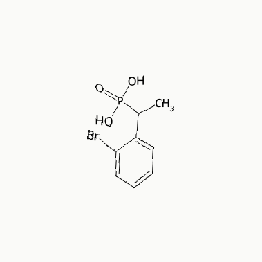 CC(c1ccccc1Br)P(=O)(O)O